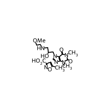 COCCNCC(O)Cn1cnc2c1c(=O)n(C)c(=O)n2C.Cc1cc(C(=O)O)no1